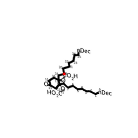 CCCCCCCCCCCCCCCCCCC1(OC(=O)O)CC2OC2CC1(CCCCCCCCCCCCCCCCCC)OC(=O)O